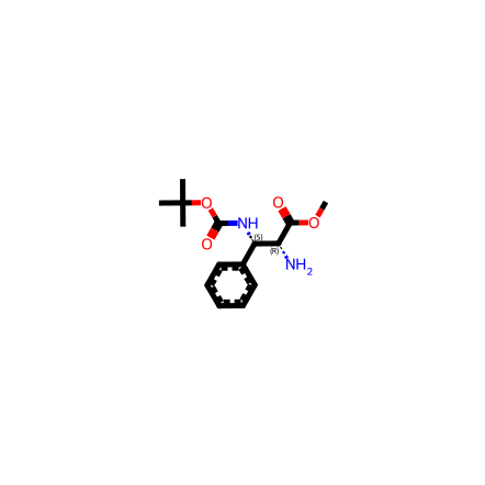 COC(=O)[C@H](N)[C@@H](NC(=O)OC(C)(C)C)c1ccccc1